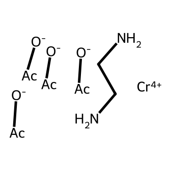 CC(=O)[O-].CC(=O)[O-].CC(=O)[O-].CC(=O)[O-].NCCN.[Cr+4]